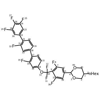 CCCCCCC1COC(c2cc(F)c(C(F)(F)Oc3ccc(-c4ccc(-c5cc(F)c(F)c(F)c5)c(F)c4)c(F)c3)c(F)c2)OC1